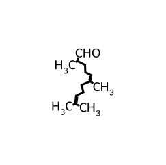 CC(C)=CCCC(C)=CCCC(C)C=O